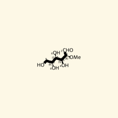 CO[C@@H](C=O)[C@@H](O)[C@@H](O)[C@H](O)CO